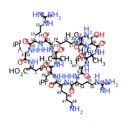 CC(C)C[C@H](NC(=O)[C@H](CC(C)C)NC(=O)[C@H](CCCNC(=N)N)NC(=O)[C@H](CCCCN)NC(=O)C(C)(C)NC(=O)[C@H](CC(C)C)NC(=O)[C@H](CCCCN)NC(=O)[C@H](CCCNC(=N)N)NC(=O)[C@H](CC(C)C)NC(=O)C(C)(C)NC(=O)[C@H](CO)NC(=O)[C@H](C)N)C(=O)O